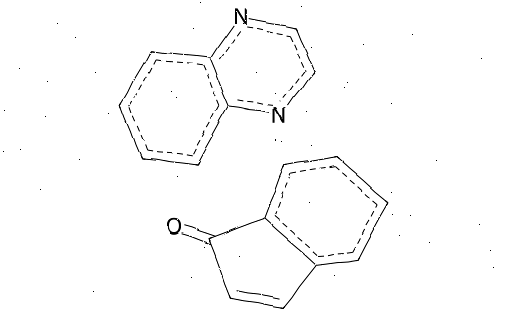 O=C1C=Cc2ccccc21.c1ccc2nccnc2c1